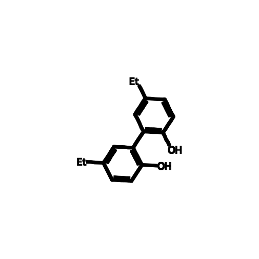 CCc1ccc(O)c(-c2cc(CC)ccc2O)c1